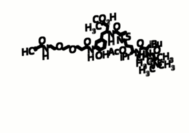 C#CC(=O)NCCOCCOCCC(=O)Nc1cc(CC(CC(C)C(=O)O)NC(=O)c2csc(C(CC(C(C)C)N(C)C(=O)C(NC(=O)C(C)(C)N(C)C)C(C)CC)OC(C)=O)n2)ccc1O